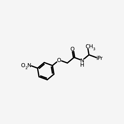 CC(C)C(C)NC(=O)COc1cccc([N+](=O)[O-])c1